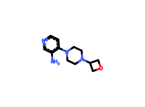 Nc1cnccc1N1CCN(C2COC2)CC1